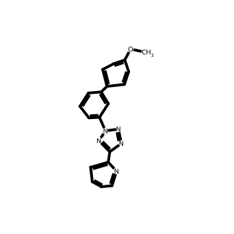 COc1ccc(-c2cccc(-n3nnc(-c4ccccn4)n3)c2)cc1